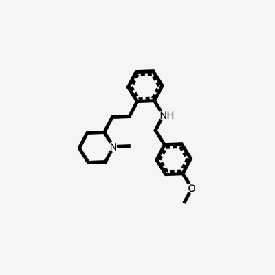 COc1ccc(CNc2ccccc2CCC2CCCCN2C)cc1